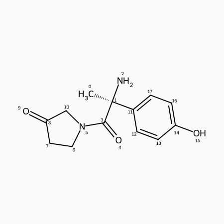 C[C@@](N)(C(=O)N1CCC(=O)C1)c1ccc(O)cc1